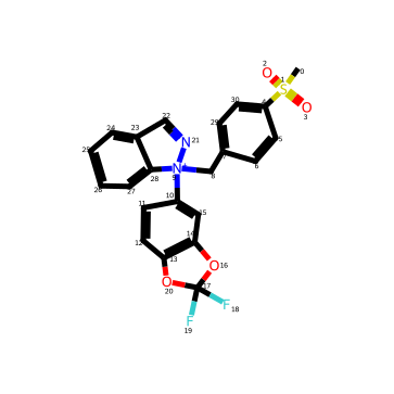 CS(=O)(=O)c1ccc(C[N+]2(c3ccc4c(c3)OC(F)(F)O4)N=Cc3ccccc32)cc1